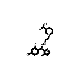 Cc1ccsc1C(=NOCCN1CCCC(C(=O)O)C1)c1ccc(Cl)cc1Cl